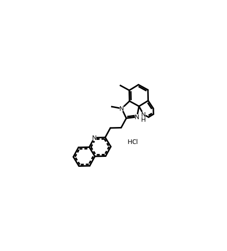 CC1=C2N(C)C(CCc3ccc4ccccc4n3)=NC23NC=CC=C3C=C1.Cl